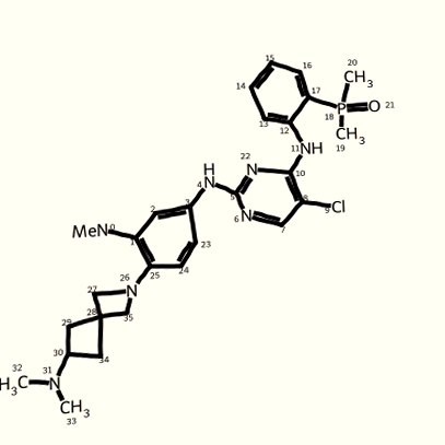 CNc1cc(Nc2ncc(Cl)c(Nc3ccccc3P(C)(C)=O)n2)ccc1N1CC2(CC(N(C)C)C2)C1